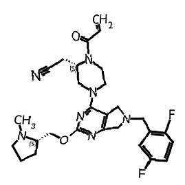 C=CC(=O)N1CCN(c2nc(OC[C@@H]3CCCN3C)nc3c2CN(Cc2cc(F)ccc2F)C3)C[C@@H]1CC#N